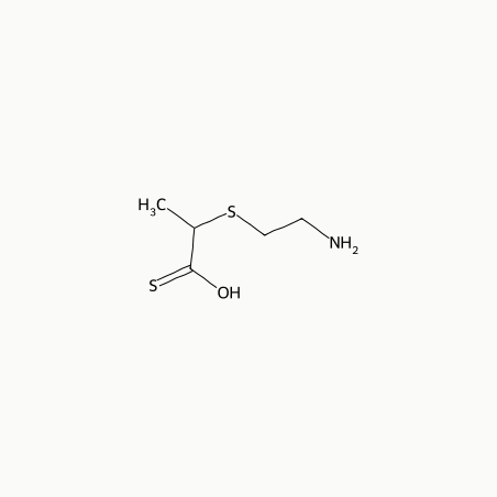 CC(SCCN)C(O)=S